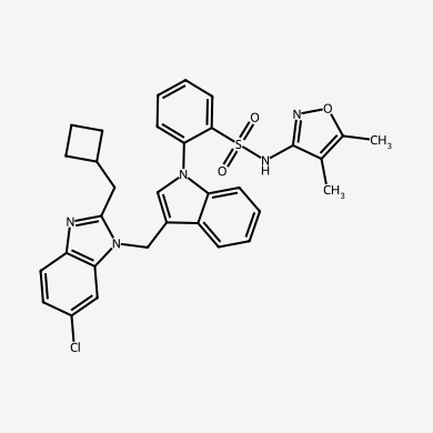 Cc1onc(NS(=O)(=O)c2ccccc2-n2cc(Cn3c(CC4CCC4)nc4ccc(Cl)cc43)c3ccccc32)c1C